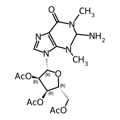 CC(=O)OC[C@H]1O[C@@H](n2cnc3c2N(C)C(N)N(C)C3=O)[C@H](OC(C)=O)[C@@H]1OC(C)=O